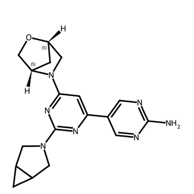 Nc1ncc(-c2cc(N3C[C@@H]4C[C@H]3CO4)nc(N3CC4CC4C3)n2)cn1